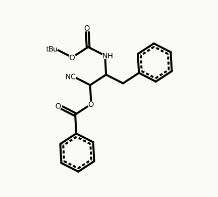 CC(C)(C)OC(=O)NC(Cc1ccccc1)C(C#N)OC(=O)c1ccccc1